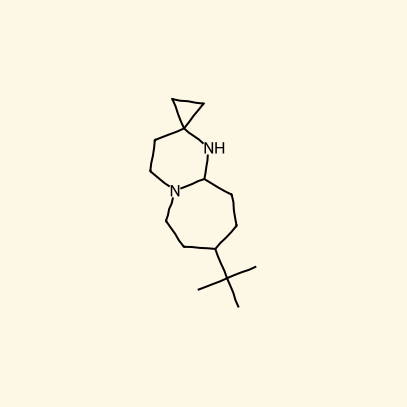 CC(C)(C)C1CCC2NC3(CCN2CC1)CC3